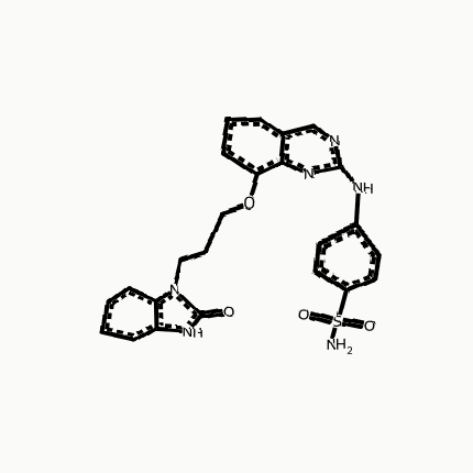 NS(=O)(=O)c1ccc(Nc2ncc3cccc(OCCCn4c(=O)[nH]c5ccccc54)c3n2)cc1